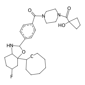 O=C(c1ccc(C2NC3CCC(F)CC3(C3CCCCCCC3)O2)cc1)N1CCN(C(=O)C2(O)CCC2)CC1